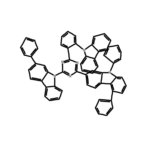 c1ccc(-c2ccc3c4ccccc4n(-c4nc(-c5ccc6c7c(-c8ccccc8)cccc7n(-c7ccccc7)c6c5)nc(-c5ccccc5-n5c6ccccc6c6ccccc65)n4)c3c2)cc1